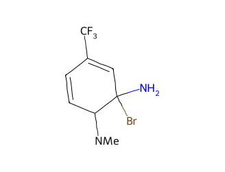 CNC1C=CC(C(F)(F)F)=CC1(N)Br